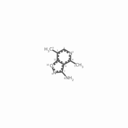 Cc1cnc(C)c2c(N)noc12